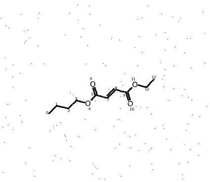 CCCCOC(=O)C=CC(=O)OCC